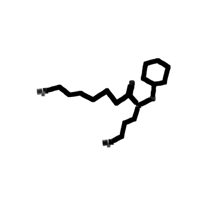 NCCCCCCC(=O)N(CCCN)OC1CCCCC1